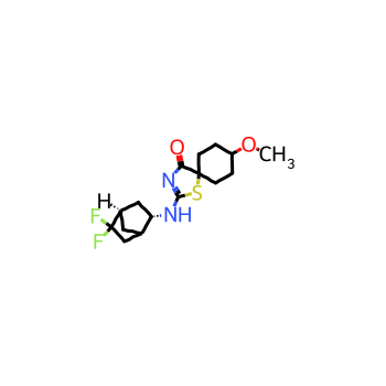 COC1CCC2(CC1)SC(N[C@H]1C[C@H]3CC1CC3(F)F)=NC2=O